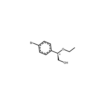 CCO[C@@H](CO)c1ccc(Br)cc1